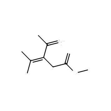 COC(=O)CC(C(C)=N)=C(C)C